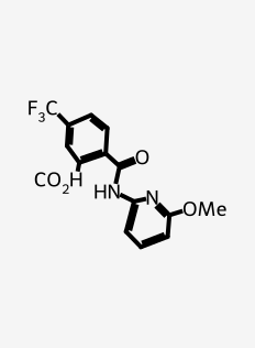 COc1cccc(NC(=O)c2ccc(C(F)(F)F)cc2C(=O)O)n1